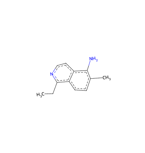 CCc1nccc2c(N)c(C)ccc12